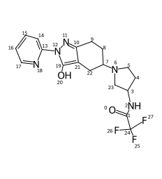 O=C(NC1CCN(C2CCc3nn(-c4ccccn4)c(O)c3C2)C1)C(F)(F)F